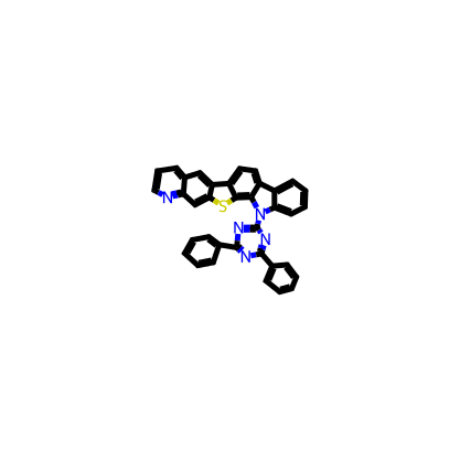 c1ccc(-c2nc(-c3ccccc3)nc(-n3c4ccccc4c4ccc5c6cc7cccnc7cc6sc5c43)n2)cc1